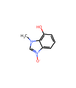 Cn1c[n+]([O-])c2cccc(O)c21